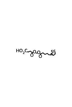 O=C(O)CCC(=O)OCOC(=O)CCCC[C@@H]1CCSS1